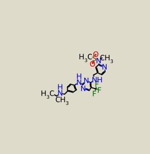 CC(C)NCc1ccc(Nc2ncc(C(F)(F)F)c(NCc3ccnc(N(C)S(C)(=O)=O)c3)n2)cc1